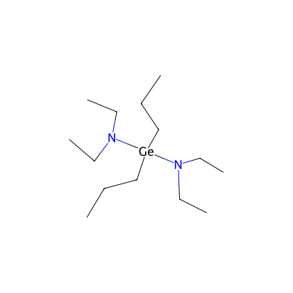 CC[CH2][Ge]([CH2]CC)([N](CC)CC)[N](CC)CC